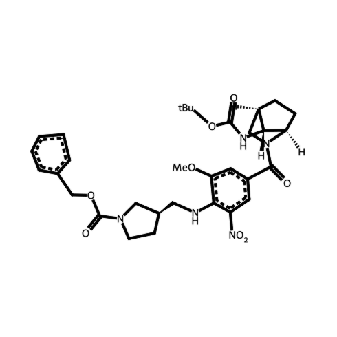 COc1cc(C(=O)N2C[C@H]3CC[C@@H]2[C@@H]3NC(=O)OC(C)(C)C)cc([N+](=O)[O-])c1NC[C@H]1CCN(C(=O)OCc2ccccc2)C1